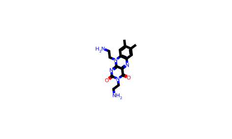 Cc1cc2nc3c(=O)n(CCN)c(=O)nc-3n(CCN)c2cc1C